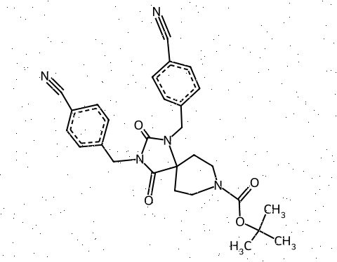 CC(C)(C)OC(=O)N1CCC2(CC1)C(=O)N(Cc1ccc(C#N)cc1)C(=O)N2Cc1ccc(C#N)cc1